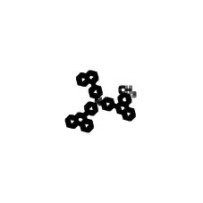 CC1C=Cc2c(c(-c3ccc(N(c4ccc(-c5cccc6ccccc56)cc4)c4ccc(-c5cc6ccccc6c6ccccc56)cc4)cc3)cc3ccccc23)C1